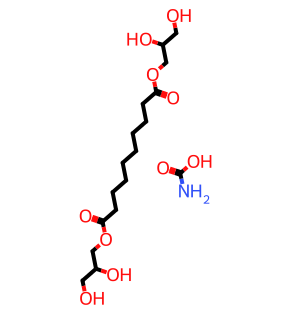 NC(=O)O.O=C(CCCCCCCCC(=O)OCC(O)CO)OCC(O)CO